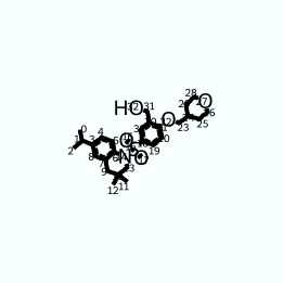 CC(C)c1ccc2c(c1)CC(C)(C)CN2S(=O)(=O)c1ccc(OCC2CCOCC2)c(CO)c1